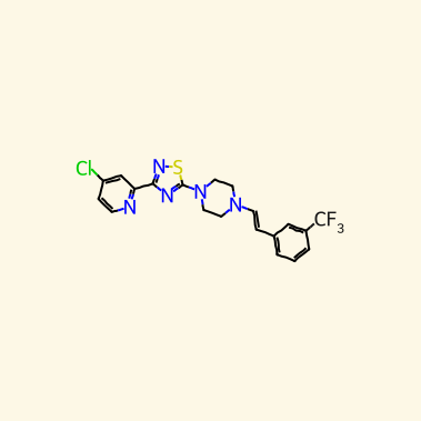 FC(F)(F)c1cccc(C=CN2CCN(c3nc(-c4cc(Cl)ccn4)ns3)CC2)c1